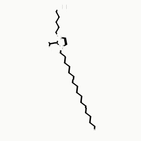 CCCCCCCCCCCCCCCCCN1C=CN(CCCCCC)C1C(C)C